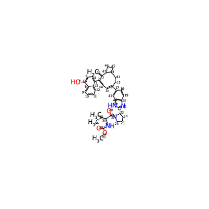 C=C1/C(c2ccc(O)c3ccccc23)=C\C=C(\c2ccc3nc([C@@H]4CCCN4C(=O)[C@@H](NC(=O)OC)C(C)C)[nH]c3c2)CCC2CCC12